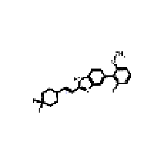 COc1cccc(F)c1-c1ccc2[nH]c(/C=C/C3CCC(F)(F)CC3)nc2c1